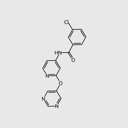 O=C(Nc1ccnc(Oc2cncnc2)c1)c1cccc(Cl)c1